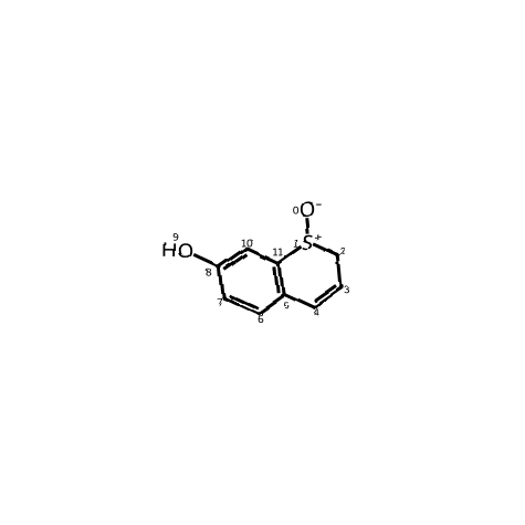 [O-][S+]1CC=Cc2ccc(O)cc21